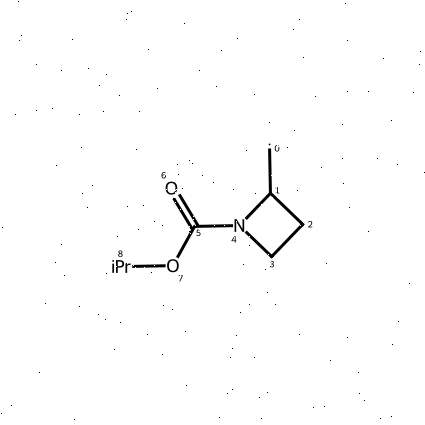 [CH2]C1CCN1C(=O)OC(C)C